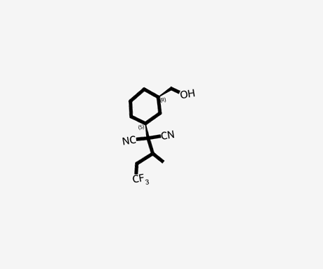 CC(CC(F)(F)F)C(C#N)(C#N)[C@H]1CCC[C@@H](CO)C1